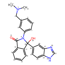 CN(C)Cc1cccc(N2C(=O)c3ccccc3C2(O)c2ccc3[nH][c]nc3c2)c1